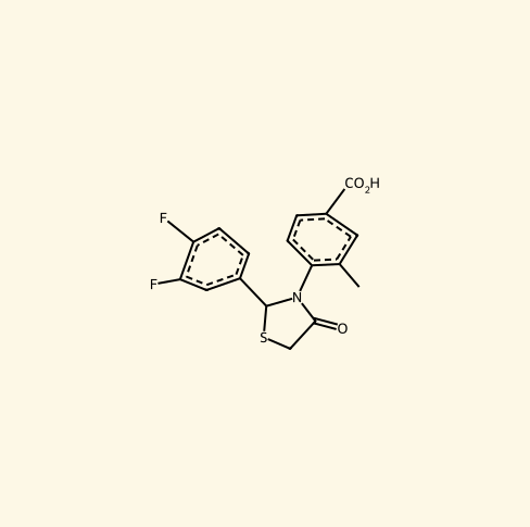 Cc1cc(C(=O)O)ccc1N1C(=O)CSC1c1ccc(F)c(F)c1